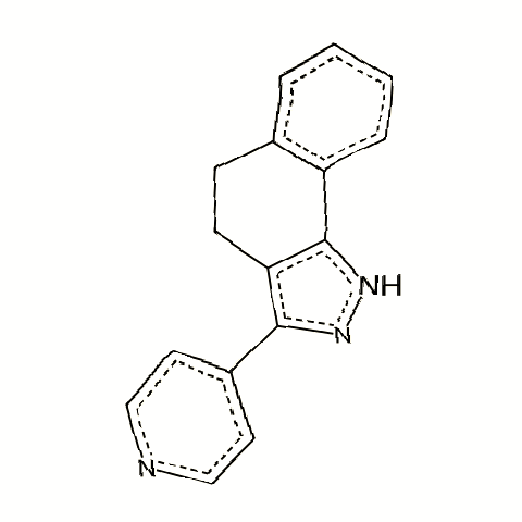 c1ccc2c(c1)CCc1c(-c3ccncc3)n[nH]c1-2